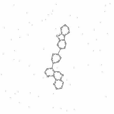 c1cnc2c(c1)ncc1c(-c3ccc(-c4ccc5c(c4)oc4ccccc45)cc3)ccnc12